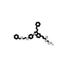 CCOC(=O)/C=C/c1ccc2c(c1)c(CCc1ccccc1)cn2-c1ccc(OCCOCc2ccccc2)cc1